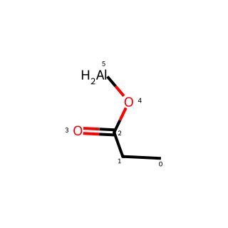 CCC(=O)[O][AlH2]